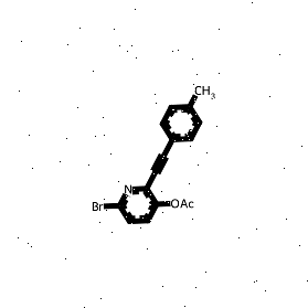 CC(=O)Oc1ccc(Br)nc1C#Cc1ccc(C)cc1